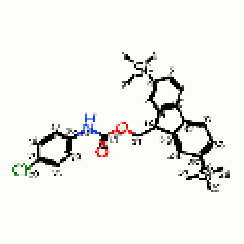 C[Si](C)(C)c1ccc2c(c1)C(COC(=O)Nc1ccc(Cl)cc1)c1cc([Si](C)(C)C)ccc1-2